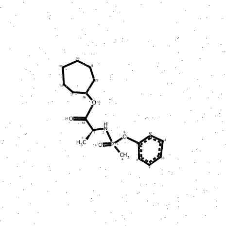 C[C@H](NP(C)(=O)Oc1ccccc1)C(=O)OC1CCCCCC1